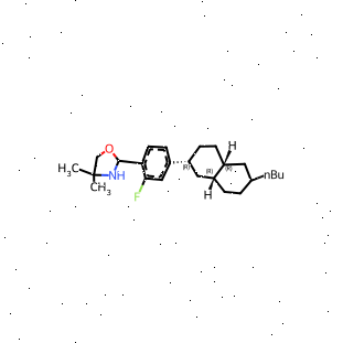 CCCCC1CC[C@@H]2C[C@H](c3ccc(C4NC(C)(C)CO4)c(F)c3)CC[C@@H]2C1